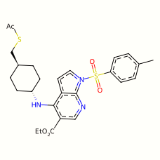 CCOC(=O)c1cnc2c(ccn2S(=O)(=O)c2ccc(C)cc2)c1N[C@H]1CC[C@H](CSC(C)=O)CC1